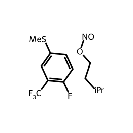 CC(C)CCON=O.CSc1ccc(F)c(C(F)(F)F)c1